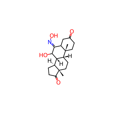 C[C@]12CCC(=O)CC1/C(=N\O)C(O)[C@@H]1[C@H]2CC[C@]2(C)C(=O)CC[C@@H]12